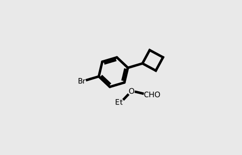 Brc1ccc(C2CCC2)cc1.CCOC=O